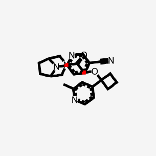 Cc1cc(C2(OCC(=O)N3CC4CCC(C3)N4c3ccc(C#N)cn3)CCC2)ccn1